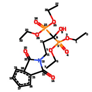 CCOP(=O)(OCC)C(O)(CCN1C(=O)c2ccccc2C1=O)P(=O)(OCC)OCC